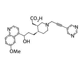 COc1ccc2nccc(C(O)CC[C@@H]3CCN(CC#Cc4cncnc4)C[C@@H]3CC(=O)O)c2c1